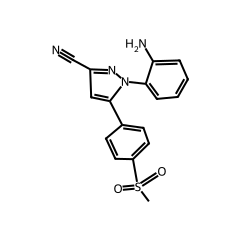 CS(=O)(=O)c1ccc(-c2cc(C#N)nn2-c2ccccc2N)cc1